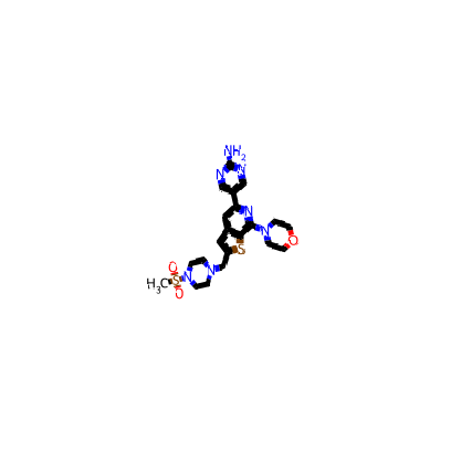 CS(=O)(=O)N1CCN(Cc2cc3cc(-c4cnc(N)nc4)nc(N4CCOCC4)c3s2)CC1